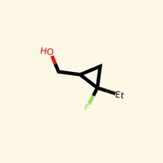 CCC1(F)CC1CO